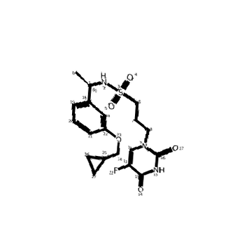 C[C@@H](NS(=O)(=O)CCCn1cc(F)c(=O)[nH]c1=O)c1cccc(OCC2CC2)c1